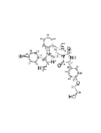 Cc1nc([C@H]([C@@H](C)c2ccccc2)N2C(=O)NC(c3ccc(OCCO)cc3)C2=O)[nH]c1-c1ccc(Br)cc1